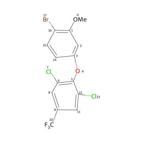 COc1cc(Oc2c(Cl)cc(C(F)(F)F)cc2Cl)ccc1Br